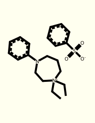 CC[N+]1(CC)CCCN(c2ccccc2)CC1.O=S(=O)([O-])c1ccccc1